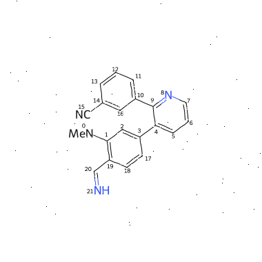 CNc1cc(-c2cccnc2-c2cccc(C#N)c2)ccc1C=N